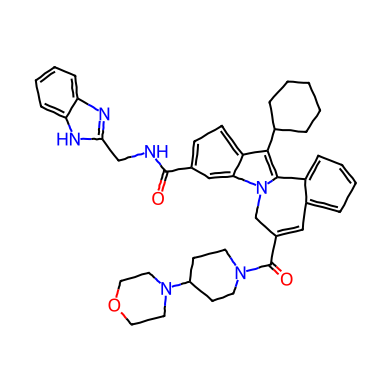 O=C(NCc1nc2ccccc2[nH]1)c1ccc2c(C3CCCCC3)c3n(c2c1)CC(C(=O)N1CCC(N2CCOCC2)CC1)=Cc1ccccc1-3